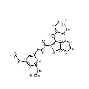 COc1cc(COC(=O)c2sc3ccccc3c2OC2CCNCC2)cc(OC)c1